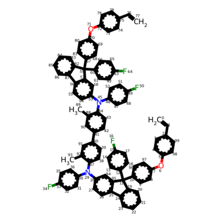 C=Cc1ccc(Oc2ccc(C3(c4ccc(F)cc4)c4ccccc4-c4ccc(N(c5ccc(F)cc5)c5ccc(-c6ccc(N(c7ccc(F)cc7)c7ccc8c(c7)C(c7ccc(F)cc7)(c7ccc(Oc9ccc(C=C)cc9)cc7)c7ccccc7-8)c(C)c6)cc5C)cc43)cc2)cc1